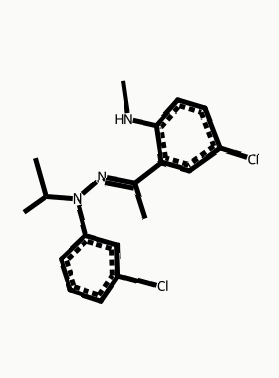 CNc1ccc(Cl)cc1/C(C)=N/N(c1cccc(Cl)c1)C(C)C